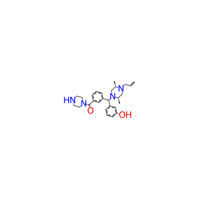 C=CCN1C[C@@H](C)N(C(c2cccc(O)c2)c2cccc(C(=O)N3CCNCC3)c2)C[C@H]1C